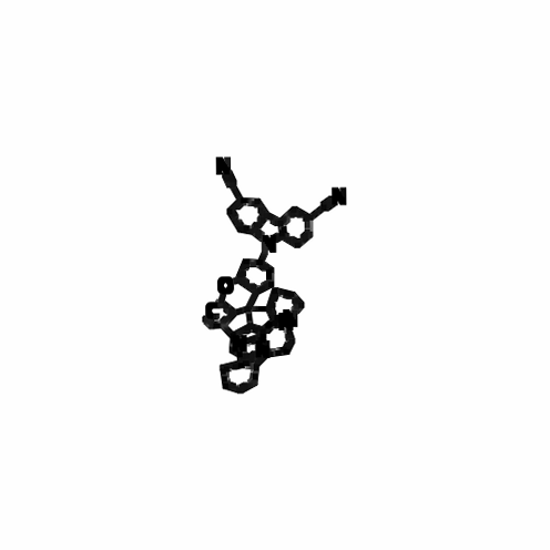 N#Cc1ccc2c(c1)c1cc(C#N)ccc1n2-c1ccc2c(c1)Oc1cccc(-n3c4ccccc4c4ccncc43)c1C21c2cccnc2-c2ncccc21